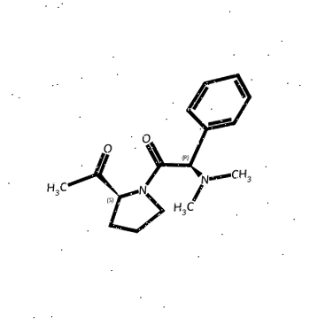 CC(=O)[C@@H]1CCCN1C(=O)[C@@H](c1ccccc1)N(C)C